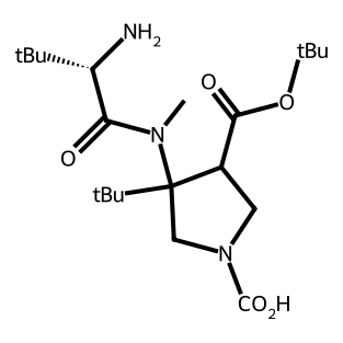 CN(C(=O)[C@@H](N)C(C)(C)C)C1(C(C)(C)C)CN(C(=O)O)CC1C(=O)OC(C)(C)C